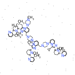 CCc1c([C@H]2CCC[C@@H](c3ncccc3C)N2C)nc2c(CN3CCN(c4cccc5nc([C@H]6CCC[C@@H](c7ncccc7C)N6C)c(C6CC6)n45)CC3)ccc(N3CCN(Cc4ccc(N5CCN(C)CC5)n5c(CC(C)C)c([C@H]6CCC[C@@H](c7ncccc7C)N6C)nc45)CC3)n12